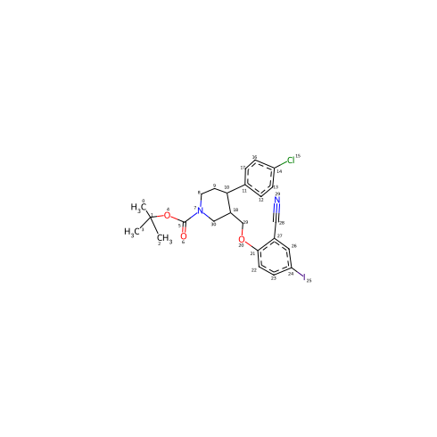 CC(C)(C)OC(=O)N1CCC(c2ccc(Cl)cc2)C(COc2ccc(I)cc2C#N)C1